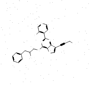 NC(CNc1nc(-c2ccncc2F)nc2c(C#CCO)csc12)Cc1ccccc1